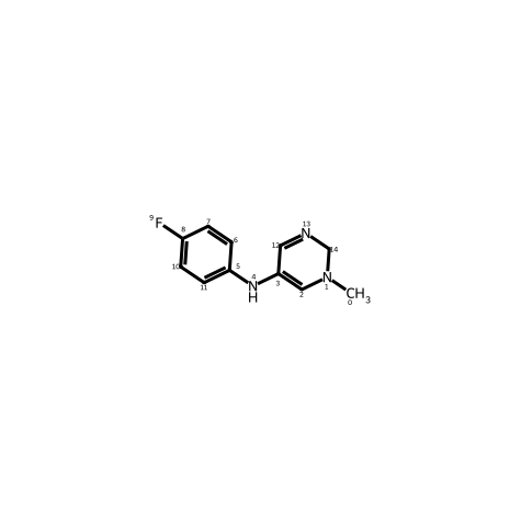 CN1C=C(Nc2ccc(F)cc2)C=NC1